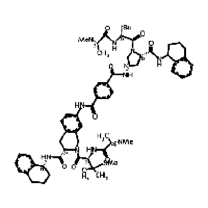 CN[C@@H](C)C(=O)N[C@H](C(=O)N1C[C@@H](NC(=O)c2ccc(C(=O)Nc3ccc4c(c3)CN(C(=O)[C@@H](NC(=O)[C@H](C)NC)C(C)(C)SC)[C@H](C(=O)N[C@@H]3CCCc5ccccc53)C4)cc2)C[C@H]1C(=O)NC1CCCc2ccccc21)C(C)(C)C